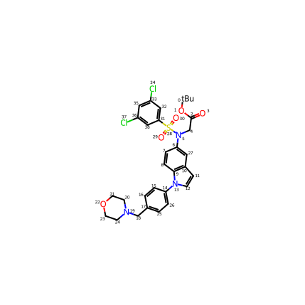 CC(C)(C)OC(=O)CN(c1ccc2c(ccn2-c2ccc(CN3CCOCC3)cc2)c1)S(=O)(=O)c1cc(Cl)cc(Cl)c1